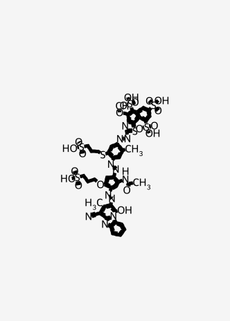 COc1c(S(=O)(=O)O)c2cc(S(=O)(=O)O)cc(S(=O)(=O)O)c2c2sc(N=Nc3cc(SCCCS(=O)(=O)O)c(N=Nc4cc(OCCCS(=O)(=O)O)c(N=Nc5c(C)c(C#N)c6nc7ccccc7n6c5O)cc4NC(C)=O)cc3C)nc12